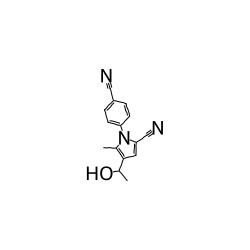 Cc1c(C(C)O)cc(C#N)n1-c1ccc(C#N)cc1